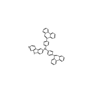 c1ccc2c(c1)cc(-c1ccc(N(c3ccc(-c4cc5ccccc5c5ccccc45)cc3)c3ccc4sc5cnccc5c4c3)cc1)c1ccccc12